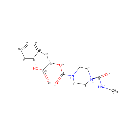 CNC(=O)N1CCN(C(=O)O[C@@H](Cc2ccccc2)C(=O)O)CC1